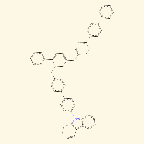 C1=Cc2c(n(-c3ccc(-c4ccc(CC5CC(CC6=CC=C(c7ccc(-c8ccccc8)cc7)CC6)=CC=C5c5ccccc5)cc4)cc3)c3ccccc23)CC1